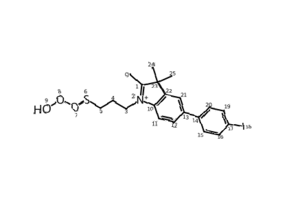 CC1=[N+](CCCSOOO)c2ccc(-c3ccc(I)cc3)cc2C1(C)C